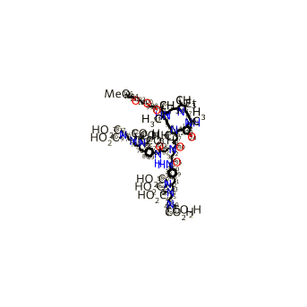 CCC1=C(C)c2cc3[nH]c(cc4nc(c5c6[nH]c(cc1n2)c(C)c6C(=O)C5)C(CCC(=O)N(CCC(=O)Nc1ccc(CC(CN(CCN(CC(=O)O)CC(=O)O)CC(=O)O)N(CC(=O)O)CC(=O)O)cc1)CCC(=O)Nc1ccc(CC(CN(CCN(CC(=O)O)CC(=O)O)CC(=O)O)N(CC(=O)O)CC(=O)O)cc1)C4C)c(C)c3C(C)OCCOCCOCCOC